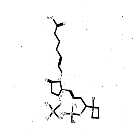 CCC1(C(CC=C[C@H]2[C@H](O[Si](C)(C)C(C)(C)C)CC(=O)[C@@H]2CC=CCCCC(=O)OC)O[Si](C)(C)C(C)(C)C)CCC1